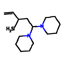 C=CC([SiH3])CC(N1CCCCC1)N1CCCCC1